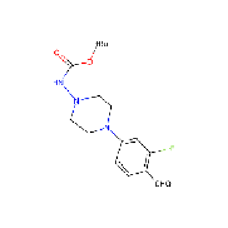 CC(C)(C)OC(=O)NN1CCN(c2ccc(C=O)c(F)c2)CC1